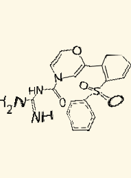 N=C(N)NC(=O)N1C=COC(C2=C(S(=O)(=O)c3ccccc3)C=CCC2)=C1